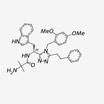 COc1ccc(Cn2c(CCc3ccccc3)nnc2[C@H](Cc2c[nH]c3ccccc23)NC(=O)C(C)(C)N)c(OC)c1